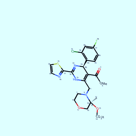 COC(=O)C1=C(CN2CCOC[C@]2(C)OC(=O)O)NC(c2nccs2)=N[C@H]1c1ccc(F)cc1Cl